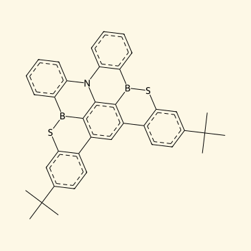 CC(C)(C)c1ccc2c(c1)SB1c3ccccc3N3c4ccccc4B4Sc5cc(C(C)(C)C)ccc5-c5cc-2c1c3c54